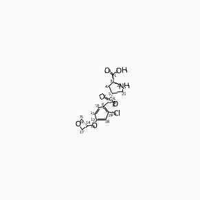 O=C(O)[C@@H]1C[C@@H](S(=O)(=O)c2ccc(OC3COC3)cc2Cl)CN1